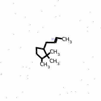 C/C=C/CC1CCC(C)C1(C)C